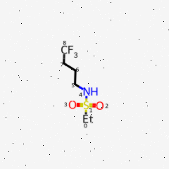 CCS(=O)(=O)NCCCC(F)(F)F